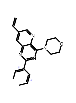 C=Cc1cnc2c(N3CCOCC3)nc(C(/C=C\C)=C/C)nc2c1